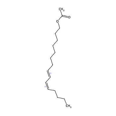 CCCC/C=C\C=C\CCCCCCCOC(C)=O